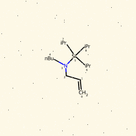 C=CCN(CCCC)[Si](C(C)C)(C(C)C)C(C)C